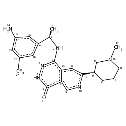 C[C@@H](Nc1n[nH]c(=O)c2cnc([C@@H]3CCCN(C)C3)cc12)c1cc(N)cc(C(F)(F)F)c1